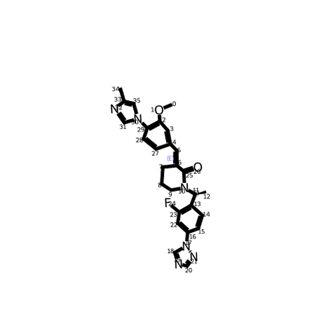 COc1cc(/C=C2\CCCN([C@@H](C)c3ccc(-n4cncn4)cc3F)C2=O)ccc1-n1cnc(C)c1